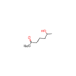 COC(=O)CCCC(C)O